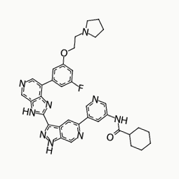 O=C(Nc1cncc(-c2cc3c(-c4nc5c(-c6cc(F)cc(OCCN7CCCC7)c6)cncc5[nH]4)n[nH]c3cn2)c1)C1CCCCC1